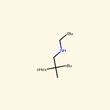 CCCCCCC(C)(CCCC)CNCC(C)(C)C